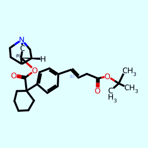 CC(C)(C)OC(=O)C/C=C/c1ccc(C2(C(=O)O[C@H]3CN4CCC3CC4)CCCCC2)cc1